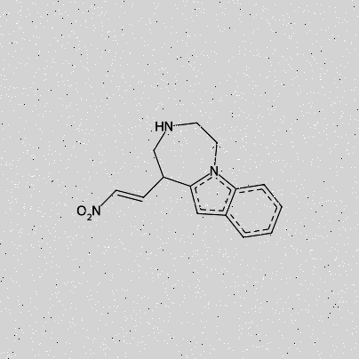 O=[N+]([O-])/C=C/C1CNCCn2c1cc1ccccc12